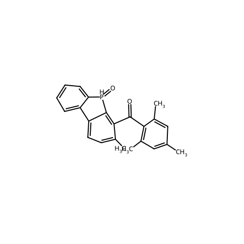 Cc1cc(C)c(C(=O)c2c(C)ccc3c2[PH](=O)c2ccccc2-3)c(C)c1